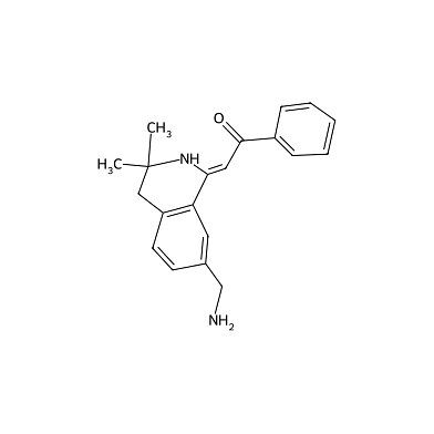 CC1(C)Cc2ccc(CN)cc2/C(=C/C(=O)c2ccccc2)N1